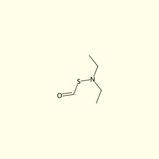 CCN(CC)S[C]=O